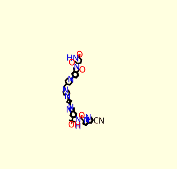 CC(C)(O)c1cc2nn(C34CC(N5CCN(CC6CCN(c7ccc8c(c7)CN(C7CCC(=O)NC7=O)C8=O)CC6)CC5)(C3)C4)cc2cc1NC(=O)c1ccc2cc(C#N)cnn12